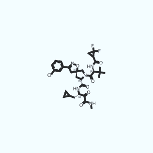 CNC(=O)C(=O)[C@H](CC1CC1)NC(=O)[C@@H]1C[C@]2(CC(c3cccc(Cl)c3)=NO2)CN1C(=O)[C@@H](NC(=O)C1CC1(F)F)C(C)(C)C